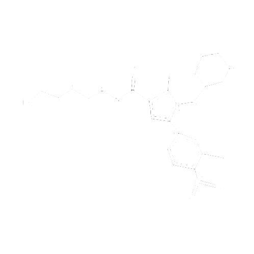 Cc1c(C(=O)NCCCCCO)cc(-c2ccc([SH](=O)=O)c(C(C)(C)C)c2)n1CC1CCCCC1